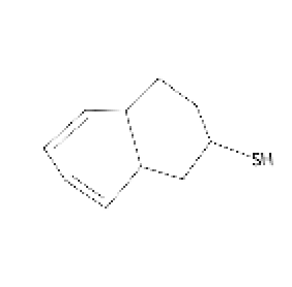 SC1CCC2C=CC=CC2C1